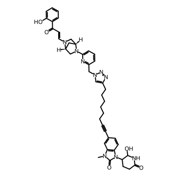 Cn1c(=O)n(C2CCC(=O)NC2O)c2ccc(C#CCCCCCCc3cn(Cc4cccc(N5C[C@H]6C[C@@H]5CN6/C=C/C(=O)c5ccccc5O)n4)nn3)cc21